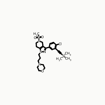 C[Si](C)(C)C#Cc1cc(-c2nn(CCCN3CCOCC3)c3c2CN(S(C)(=O)=O)CC3)ccc1Cl